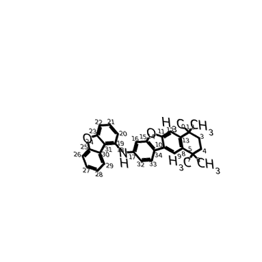 CC1(C)CCC(C)(C)c2cc3c(cc21)oc1cc(Nc2cccc4oc5ccccc5c24)ccc13